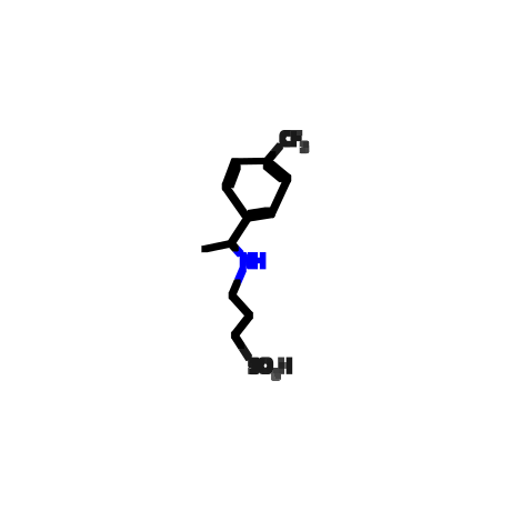 CC(NCCCS(=O)(=O)O)c1ccc(C(F)(F)F)cc1